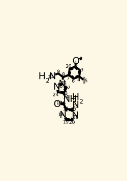 COc1cc(I)cc(C(CN)n2cc(NC(=O)c3nccnc3N)cn2)c1